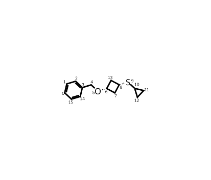 c1ccc(CO[C@H]2C[C@@H](SC3CC3)C2)cc1